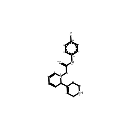 O=C(CN1C=CC=CC1C1=CCNCC1)Nc1ccc(Cl)cc1